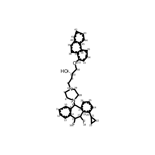 O[C@@H](CCN1CCN(C2c3ccccc3C(F)C(F)c3c(C4CC4)cccc32)CC1)COc1cccc2c1ccc1ccccc12